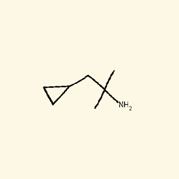 CC(C)(N)CC1CC1